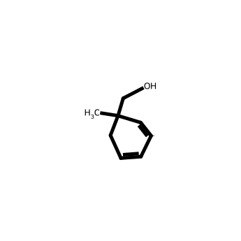 CC1(CO)C=[C]C=CC1